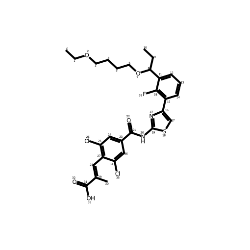 CCOCCCCOC(CC)c1cccc(-c2csc(NC(=O)c3cc(Cl)c(C=C(C)C(=O)O)c(Cl)c3)n2)c1F